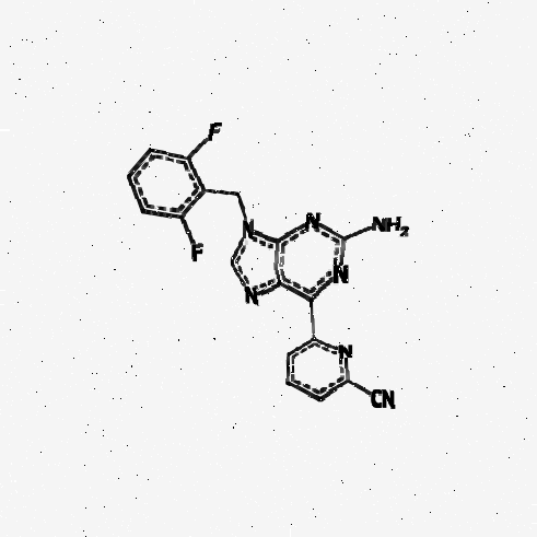 N#Cc1cccc(-c2nc(N)nc3c2ncn3Cc2c(F)cccc2F)n1